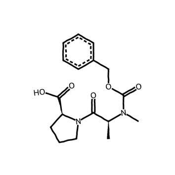 C[C@@H](C(=O)N1CCC[C@H]1C(=O)O)N(C)C(=O)OCc1ccccc1